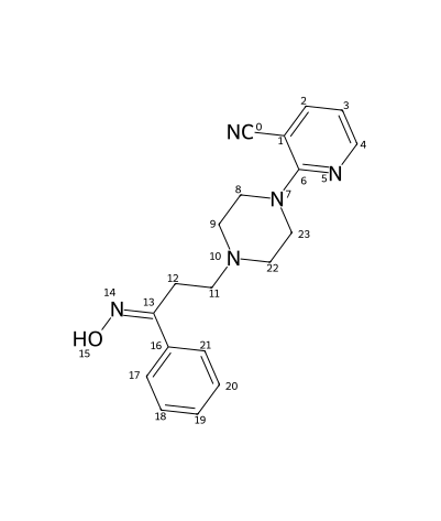 N#Cc1cccnc1N1CCN(CC/C(=N/O)c2ccccc2)CC1